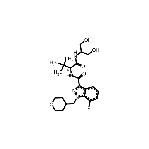 CC(C)(C)[C@H](NC(=O)c1nn(CC2CCOCC2)c2c(F)cccc12)C(=O)NC(CO)CO